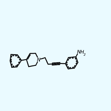 Nc1cccc(C#CCCN2CC=C(c3ccccc3)CC2)c1